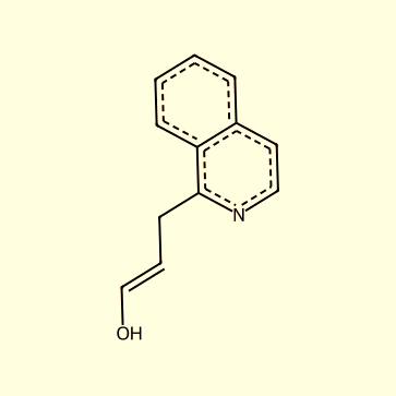 O/C=C/Cc1nccc2ccccc12